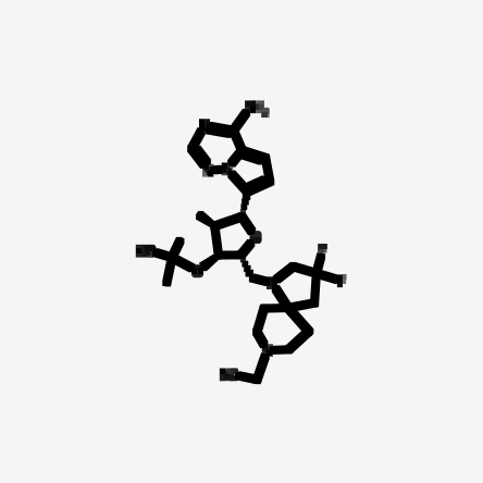 C[C@@H]1[C@H](OC(C)(C)O)[C@@H](CN2CC(F)(F)CC23CCN(CC#N)CC3)O[C@H]1c1ccc2c(N)ncnn12